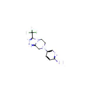 Nc1ccc(N2CCn3c(nnc3C(F)(F)F)C2)cn1